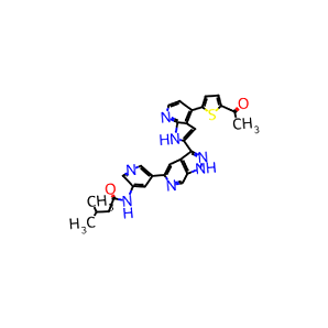 CC(=O)c1ccc(-c2ccnc3[nH]c(-c4n[nH]c5cnc(-c6cncc(NC(=O)CC(C)C)c6)cc45)cc23)s1